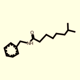 CC(C)CCCCCC(=O)NCc1ccccc1